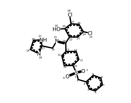 O=S(=O)(Cc1ccccc1)c1ccc(/C(=N\Cc2ncc[nH]2)c2cc(Cl)cc(Cl)c2O)cc1